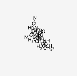 Cc1cc(C#N)cc(C)c1Oc1nc(Nc2ccc(C#N)cc2)nc2c1CN(C(=O)[C@H](CCCCNC(=O)OC(C)(C)C)NC(=O)OC(C)(C)C)CC2